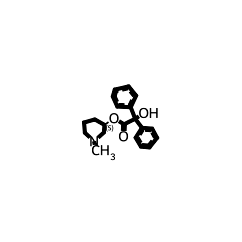 CN1CCC[C@H](OC(=O)C(O)(c2ccccc2)c2ccccc2)C1